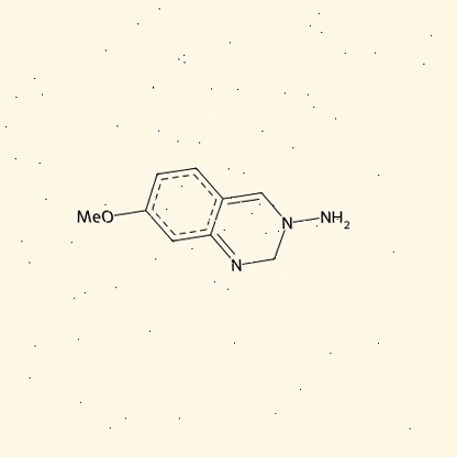 COc1ccc2c(c1)=NCN(N)C=2